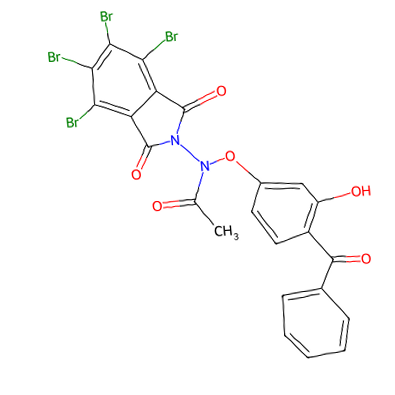 CC(=O)N(Oc1ccc(C(=O)c2ccccc2)c(O)c1)N1C(=O)c2c(Br)c(Br)c(Br)c(Br)c2C1=O